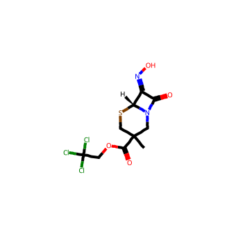 CC1(C(=O)OCC(Cl)(Cl)Cl)CS[C@@H]2C(=NO)C(=O)N2C1